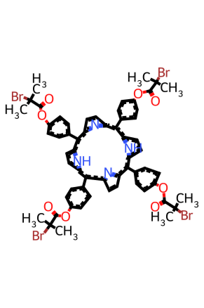 CC(C)(Br)C(=O)Oc1ccc(-c2c3nc(c(-c4ccc(OC(=O)C(C)(C)Br)cc4)c4ccc([nH]4)c(-c4ccc(OC(=O)C(C)(C)Br)cc4)c4nc(c(-c5ccc(OC(=O)C(C)(C)Br)cc5)c5ccc2[nH]5)C=C4)C=C3)cc1